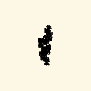 CCC(CC)n1cnnc1-c1cc(C2CCC(n3cnnc3-c3cccc(-n4cnc5cc(C)c(-n6cnc(C7CC7)c6)cc5c4=O)n3)C2)cc(-n2cnc3cc(C)c(-n4cnc(C5CC5)c4)cc3c2=O)n1